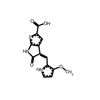 COc1cc[nH]c1/C=C1\C(=O)Nc2sc(C(=O)O)cc21